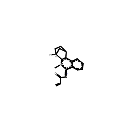 C=CC(=O)/N=c1/c2ccccc2c2c(n1C)[C@@H]1CCC2C1